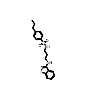 CCCc1ccc(S(=O)(=O)NCCCNc2nsc3ccccc23)cc1